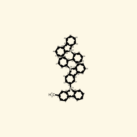 Cc1ccc2c3ccccc3n(-c3ccc4c(c3)c3ccccc3n4-c3ccccc3-c3ccccc3-n3c4ccccc4c4ccccc43)c2c1